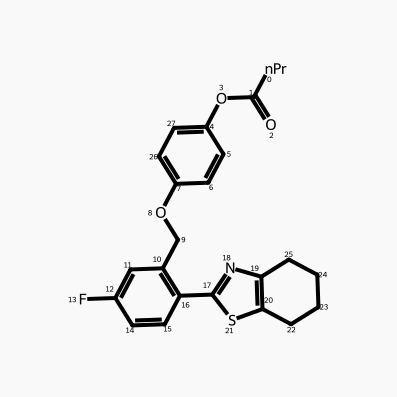 CCCC(=O)Oc1ccc(OCc2cc(F)ccc2-c2nc3c(s2)CCCC3)cc1